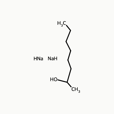 CCCCCCC(C)O.[NaH].[NaH]